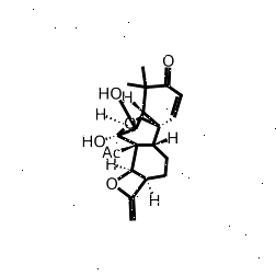 C=C1O[C@@H]2[C@H]1CC[C@H]1[C@]34C=CC(=O)C(C)(C)[C@H]3[C@H](O)[C@](O)(OC4)[C@@]21C(C)=O